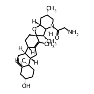 CC1=C2C[C@H]3[C@@H](CC=C4C[C@@H](O)CC[C@@]43C)[C@@H]2CC[C@]12O[C@@H]1C[C@H](C)CN(C(=O)CN)[C@H]1[C@H]2C